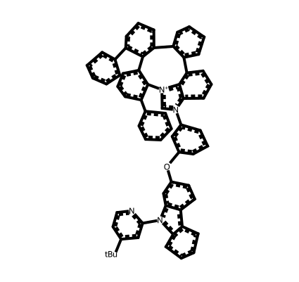 CC(C)(C)c1ccnc(-n2c3ccccc3c3ccc(Oc4cccc(-n5c[n+]6c7c(cccc75)-c5ccccc5-c5cccc(-c7ccccc7)c5-c5cccc(-c7ccccc7)c5-6)c4)cc32)c1